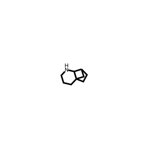 C1CNC2C3CCC2(C1)C3